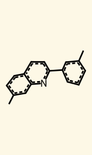 Cc1cccc(-c2ccc3ccc(C)cc3n2)c1